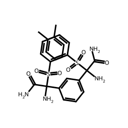 Cc1ccc(S(=O)(=O)C(N)(C(N)=O)c2cccc(C(N)(C(N)=O)S(=O)(=O)c3ccc(C)cc3)c2)cc1